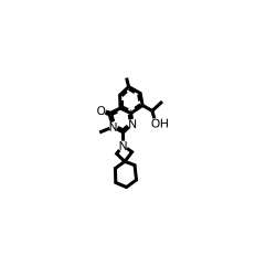 Cc1cc(C(C)O)c2nc(N3CC4(CCCCC4)C3)n(C)c(=O)c2c1